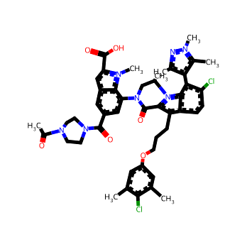 CC(=O)N1CCN(C(=O)c2cc(N3CC(C)n4c(c(CCCOc5cc(C)c(Cl)c(C)c5)c5ccc(Cl)c(-c6c(C)nn(C)c6C)c54)C3=O)c3c(c2)cc(C(=O)O)n3C)CC1